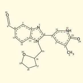 Cc1cc(-c2nc3cc(C=O)ccc3n2CC2CCCO2)c[nH]c1=O